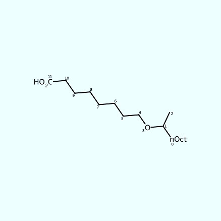 CCCCCCCCC(C)OCCCCCCCC(=O)O